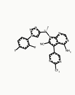 C[C@@H](c1cn(-c2ccc(F)cc2F)nn1)n1c(C#N)c(-c2cnc(C(F)(F)F)nc2)c2c(N)ncnc21